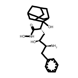 N[C@@H](Cc1ccccc1)[C@@H](O)C[C@H](C(=O)NO)C1(O)C2CC3CC(C2)CC1C3